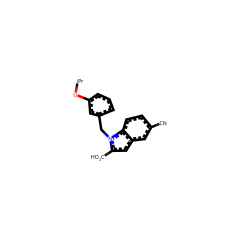 CC(C)Oc1cccc(Cn2c(C(=O)O)cc3cc(C#N)ccc32)c1